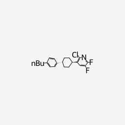 CCCCc1ccc([C@H]2CC[C@H](c3cc(F)c(F)nc3Cl)CC2)cc1